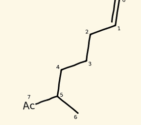 C=CCCCC(C)C(C)=O